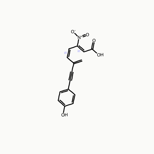 C=C(C#Cc1ccc(O)cc1)/C=C\C(=C\C(=O)O)[N+](=O)[O-]